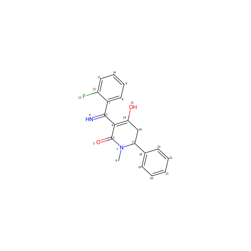 CN1C(=O)C(C(=N)c2ccccc2F)=C(O)CC1c1ccccc1